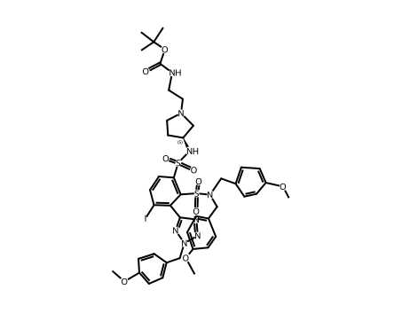 COc1ccc(CN(Cc2ccc(OC)cc2)S(=O)(=O)c2c(S(=O)(=O)N[C@H]3CCN(CCNC(=O)OC(C)(C)C)C3)ccc(I)c2-c2nnn(Cc3ccc(OC)cc3)n2)cc1